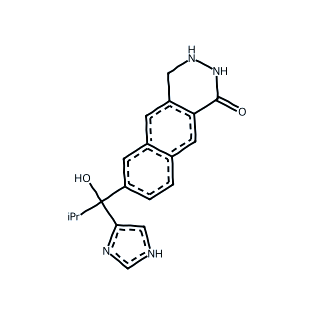 CC(C)C(O)(c1ccc2cc3c(cc2c1)CNNC3=O)c1c[nH]cn1